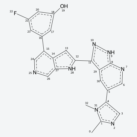 Cc1ncc(-c2cnc3[nH]nc(-c4cc5c(-c6cc(O)cc(F)c6)cncc5[nH]4)c3c2)n1C